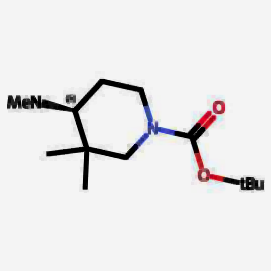 CN[C@H]1CCN(C(=O)OC(C)(C)C)CC1(C)C